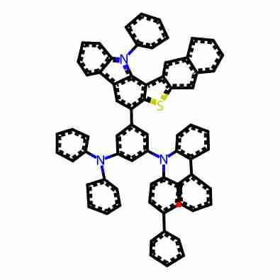 c1ccc(-c2ccc(N(c3cc(-c4cc5c6ccccc6n(-c6ccccc6)c5c5c4sc4cc6ccccc6cc45)cc(N(c4ccccc4)c4ccccc4)c3)c3ccccc3-c3ccccc3)cc2)cc1